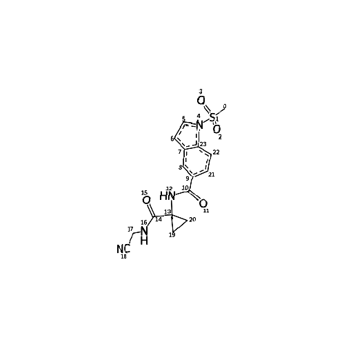 CS(=O)(=O)n1ccc2cc(C(=O)NC3(C(=O)NCC#N)CC3)ccc21